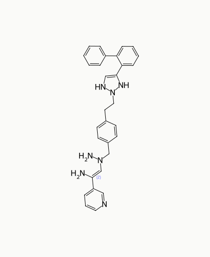 N/C(=C\N(N)Cc1ccc(CCN2NC=C(c3ccccc3-c3ccccc3)N2)cc1)c1cccnc1